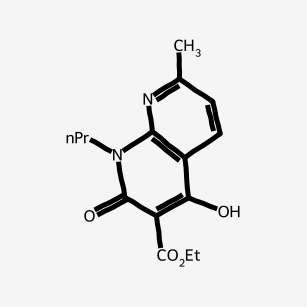 CCCn1c(=O)c(C(=O)OCC)c(O)c2ccc(C)nc21